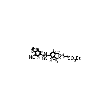 CCOC(=O)CCCN1CCc2c(ccc(-c3noc(-c4ccc(OC(C)C)c(C#N)c4)n3)c2C)C1